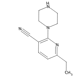 CCc1ccc(C#N)c(N2CCNCC2)n1